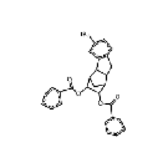 CC(C)(C)c1ccc2c(c1)C1C(C2)C2CC1C(OC(=O)c1ccccc1)C2OC(=O)c1ccccc1